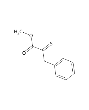 COC(=O)C(=S)Cc1ccccc1